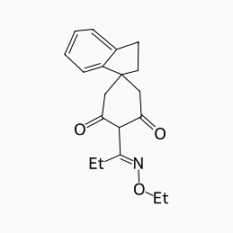 CCON=C(CC)C1C(=O)CC2(CCc3ccccc32)CC1=O